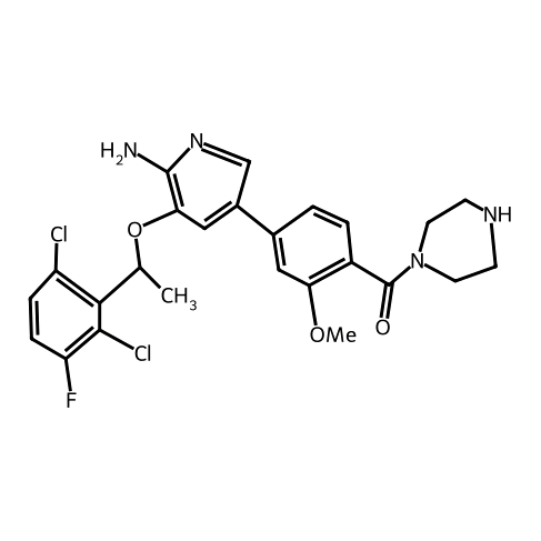 COc1cc(-c2cnc(N)c(OC(C)c3c(Cl)ccc(F)c3Cl)c2)ccc1C(=O)N1CCNCC1